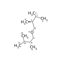 CC(C)[C@H](C)COC[C@H](C)C(C)C